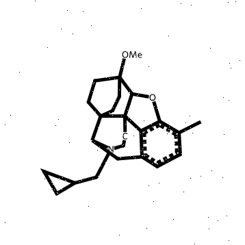 COC12CCC3(CC1)C1Cc4ccc(C)c5c4C3(CCN1CC1CC1)C2O5